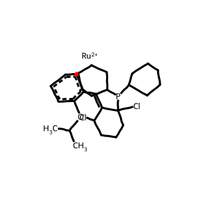 CC(C)Oc1ccccc1C=C1C(Cl)CCCC1(Cl)P(C1CCCCC1)C1CCCCC1.[Ru+2]